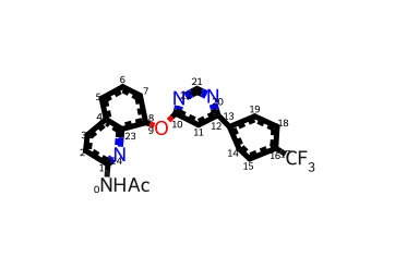 CC(=O)Nc1ccc2cccc(Oc3cc(-c4ccc(C(F)(F)F)cc4)ncn3)c2n1